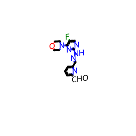 O=Cc1cccc(/C=N/Nc2ncc(F)c(N3CCOCC3)n2)n1